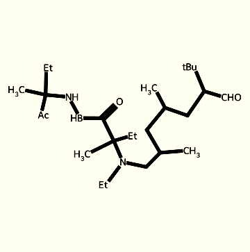 CCN(CC(C)CC(C)CC(C=O)C(C)(C)C)C(C)(CC)C(=O)BNC(C)(CC)C(C)=O